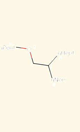 CCCCCCCCCC(CCCCCCC)COCCCCC